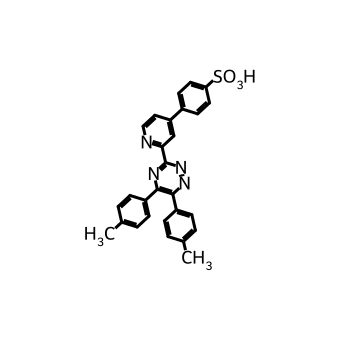 Cc1ccc(-c2nnc(-c3cc(-c4ccc(S(=O)(=O)O)cc4)ccn3)nc2-c2ccc(C)cc2)cc1